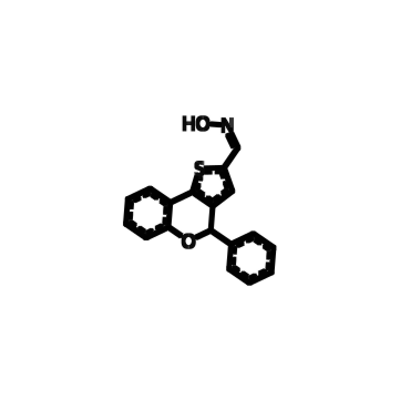 O/N=C\c1cc2c(s1)-c1ccccc1OC2c1ccccc1